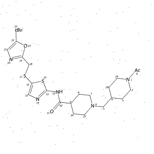 CC(=O)N1CCC(CN2CCC(C(=O)Nc3ncc(SCc4ncc(C(C)(C)C)o4)s3)CC2)CC1